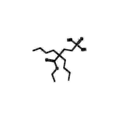 CCCCC(CCCC)(CCP(=O)(O)O)C(=O)OCC